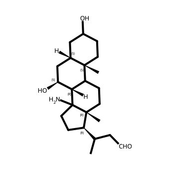 CC(CC=O)[C@H]1CCC2(N)[C@H]3C(CC[C@]12C)[C@@]1(C)CCC(O)C[C@H]1C[C@@H]3O